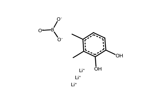 Cc1ccc(O)c(O)c1C.[Li+].[Li+].[Li+].[O-]B([O-])[O-]